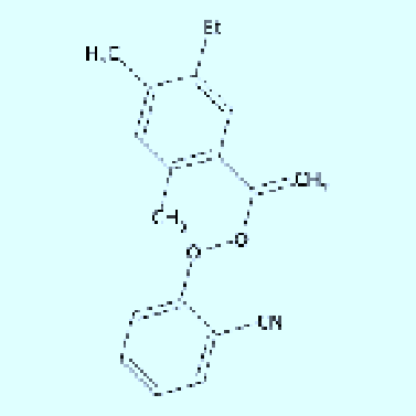 C=C(OOc1ccccc1C#N)c1cc(CC)c(C)cc1C